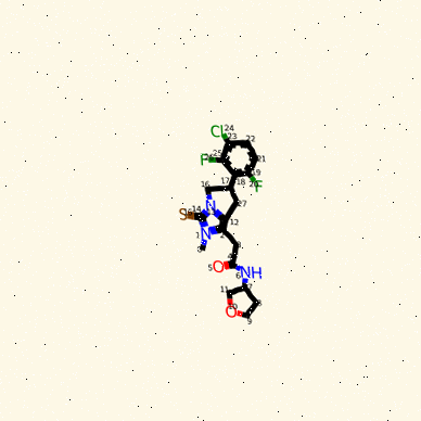 Cn1c(CC(=O)NC2CCOC2)c2n(c1=S)CC(c1c(F)ccc(Cl)c1F)C2